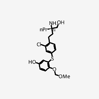 CCC[C@@](N)(CO)CCc1ccc(Sc2cc(O)ccc2OCOC)cc1Cl